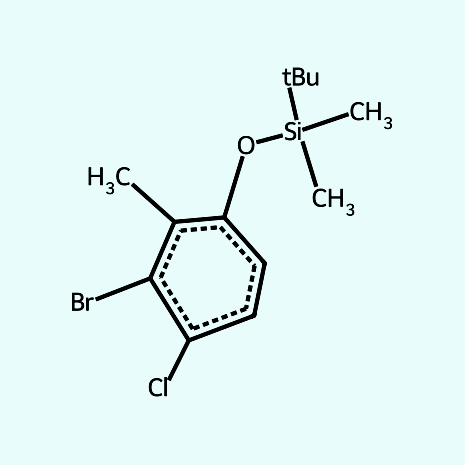 Cc1c(O[Si](C)(C)C(C)(C)C)ccc(Cl)c1Br